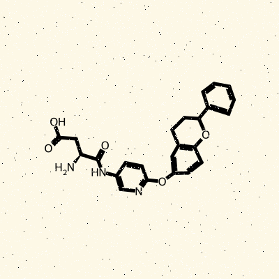 N[C@@H](CC(=O)O)C(=O)Nc1ccc(Oc2ccc3c(c2)CCC(c2ccccc2)O3)nc1